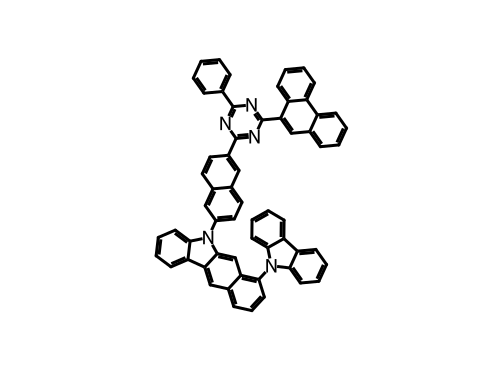 c1ccc(-c2nc(-c3ccc4cc(-n5c6ccccc6c6cc7cccc(-n8c9ccccc9c9ccccc98)c7cc65)ccc4c3)nc(-c3cc4ccccc4c4ccccc34)n2)cc1